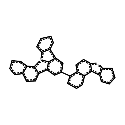 c1ccc2c(c1)ccc1c3cc(-c4cccc5c4ccc4oc6ccccc6c45)cc4c5ccccc5n(c21)c43